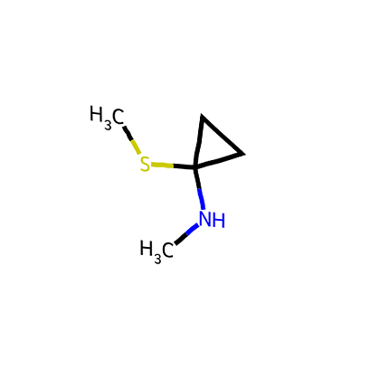 CNC1(SC)CC1